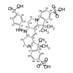 CC1(C)C2=C3C=C4C5=[N+](CCC4N(Nc4ccc(C(=O)O)cc4)C3CCN2c2ccc(S(=O)(=O)O)cc21)c1ccc(S(=O)(=O)O)cc1C5(C)C